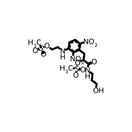 CS(=O)(=O)OCCNc1ccc([N+](=O)[O-])c(CC(OS(C)(=O)=O)C(=O)NCCCO)c1[N+](=O)[O-]